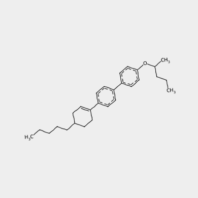 CCCCCC1CC=C(c2ccc(-c3ccc(OC(C)CCC)cc3)cc2)CC1